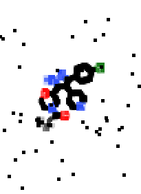 CC(=O)N1CCOC(c2[nH]nc(-c3ccc(Cl)cc3)c2-c2ccncc2)C1